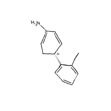 Cc1ccccc1[C@H]1C=CC(N)=CC1